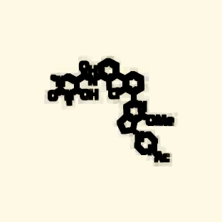 COc1nc(-c2cccc(-c3cccc(NC(=O)C4=CN(C)C(=O)N(C)C4O)c3C)c2Cl)cc2c1[C@@H](N1CCN(C(C)=O)CC1)CC2